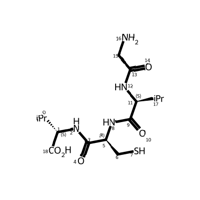 CC(C)[C@H](NC(=O)[C@H](CS)NC(=O)[C@@H](NC(=O)CN)C(C)C)C(=O)O